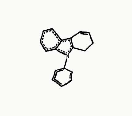 C1=C=C(n2c3c(c4ccccc42)C=CCC3)C=CC=1